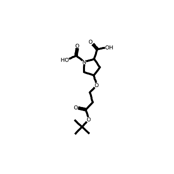 CC(C)(C)OC(=O)CCOC1CC(C(=O)O)N(C(=O)O)C1